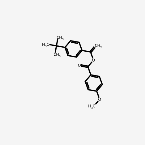 C=C(OC(=O)c1ccc(OC)cc1)c1ccc(C(C)(C)C)cc1